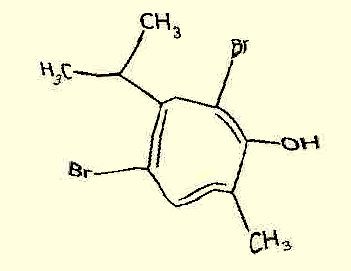 Cc1cc(Br)c(C(C)C)c(Br)c1O